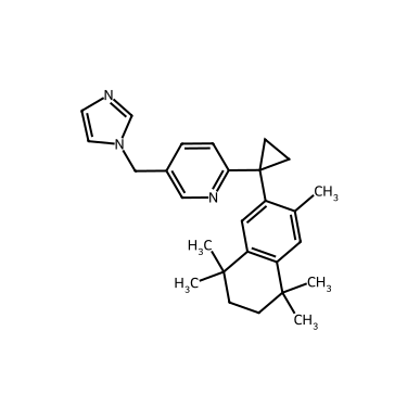 Cc1cc2c(cc1C1(c3ccc(Cn4ccnc4)cn3)CC1)C(C)(C)CCC2(C)C